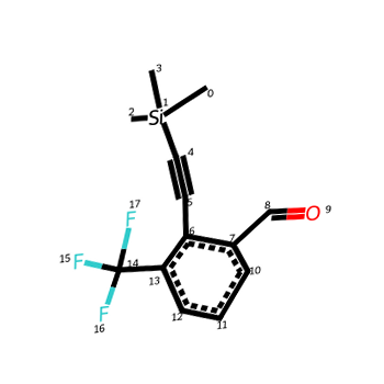 C[Si](C)(C)C#Cc1c(C=O)cccc1C(F)(F)F